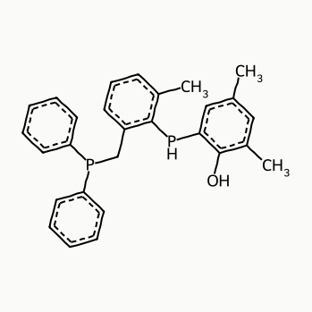 Cc1cc(C)c(O)c(Pc2c(C)cccc2CP(c2ccccc2)c2ccccc2)c1